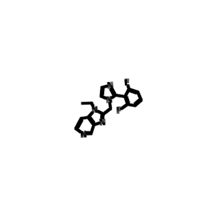 CCn1c(Cn2ccnc2-c2c(F)cccc2F)nc2cnccc21